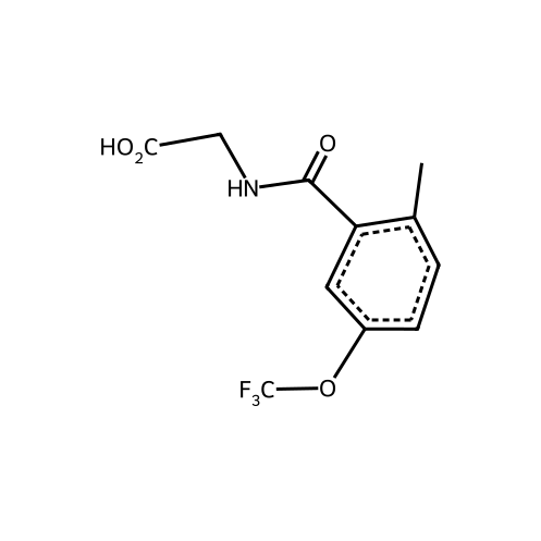 Cc1ccc(OC(F)(F)F)cc1C(=O)NCC(=O)O